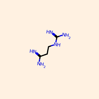 N=C(N)CCNC(=N)N